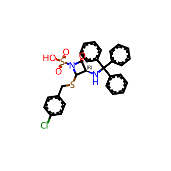 O=C1[C@@H](NC(c2ccccc2)(c2ccccc2)c2ccccc2)C(SCc2ccc(Cl)cc2)N1S(=O)(=O)O